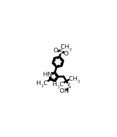 Cc1cc(CC(C)(C)SN=O)c(-c2ccc(S(C)(=O)=O)cc2)[nH]1